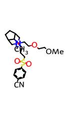 COCCOCCN(C)C1C2CCC1CN(CCCS(=O)(=O)c1ccc(C#N)cc1)C2